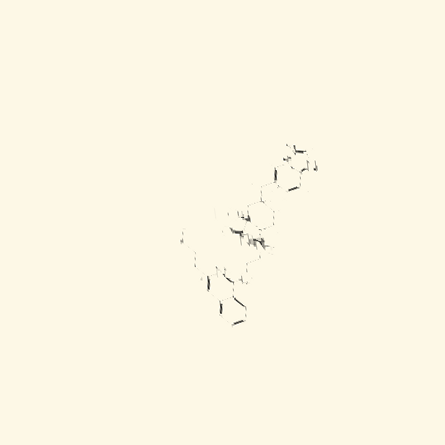 CCCCc1cc2ccccc2c(OCC[N+](C)(C)[C@H]2CCC(Cc3ccc4ncnn4c3)C[C@@]2(O)C(N)=O)n1